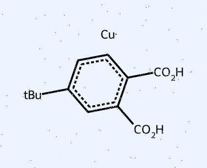 CC(C)(C)c1ccc(C(=O)O)c(C(=O)O)c1.[Cu]